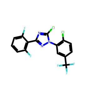 Fc1cccc(F)c1-c1nc(Cl)n(-c2cc(C(F)(F)F)ccc2Cl)n1